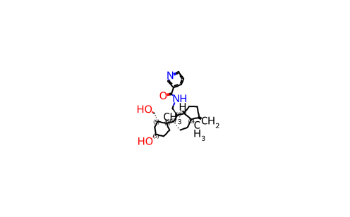 C=C1CC[C@H]2[C@H](CNC(=O)c3cccnc3)[C@@H]([C@@]3(C)CC[C@H](O)C[C@@H]3CO)CC[C@]12C